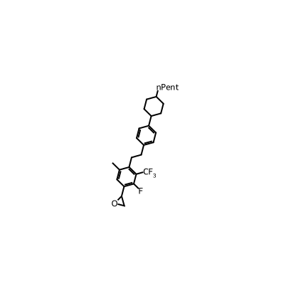 CCCCCC1CCC(c2ccc(CCc3c(C)cc(C4CO4)c(F)c3C(F)(F)F)cc2)CC1